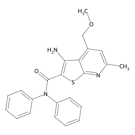 COCc1cc(C)nc2sc(C(=O)N(c3ccccc3)c3ccccc3)c(N)c12